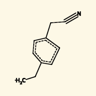 [CH2]Cc1ccc(CC#N)cc1